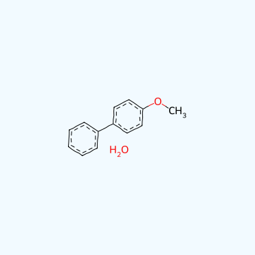 COc1ccc(-c2ccccc2)cc1.O